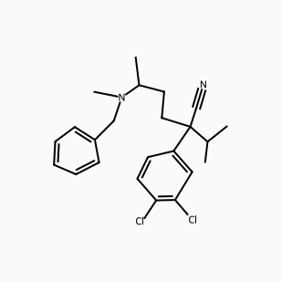 CC(CCC(C#N)(c1ccc(Cl)c(Cl)c1)C(C)C)N(C)Cc1ccccc1